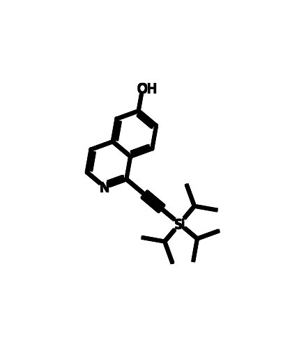 CC(C)[Si](C#Cc1nccc2cc(O)ccc12)(C(C)C)C(C)C